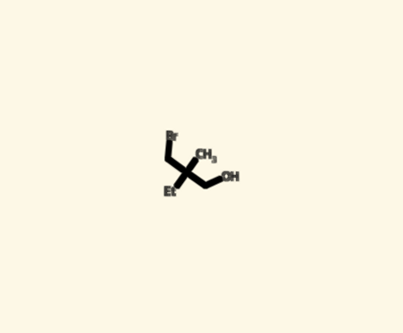 CCC(C)(CO)CBr